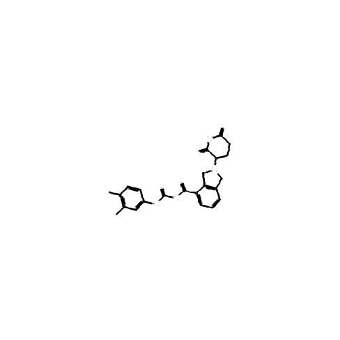 Cc1ccc(NC(=O)NC(=O)c2cccc3c2CN(C2CCC(=O)NC2=O)C3)cc1C